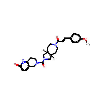 O=C(C=Cc1ccc(OC(F)(F)F)cc1)N1CC[C@@H]2CN(C(=O)N3CCc4[nH]c(=O)ccc4C3)C[C@@H]2CC1